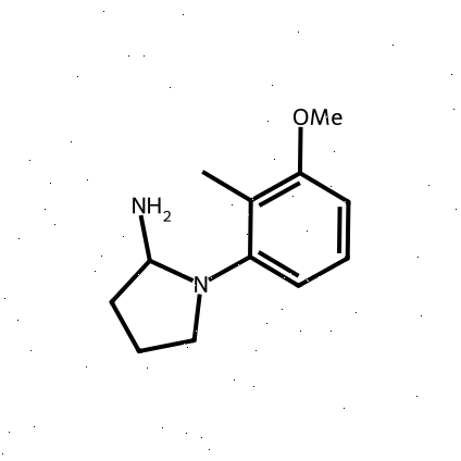 COc1cccc(N2CCCC2N)c1C